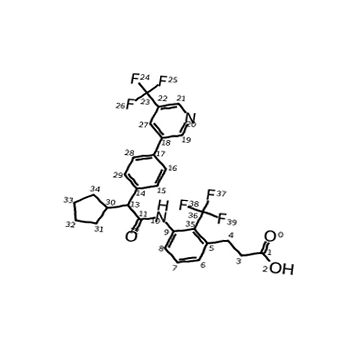 O=C(O)CCc1cccc(NC(=O)C(c2ccc(-c3cncc(C(F)(F)F)c3)cc2)C2CCCC2)c1C(F)(F)F